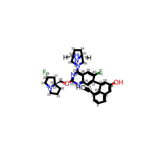 C#Cc1cccc2cc(O)cc(-c3cc4nc(OC[C@@]56CCCN5C[C@H](F)C6)nc(N5C[C@H]6CC[C@@H](C5)N6)c4cc3F)c12